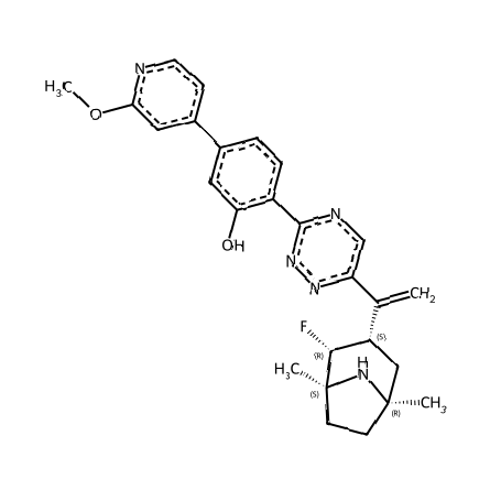 C=C(c1cnc(-c2ccc(-c3ccnc(OC)c3)cc2O)nn1)[C@@H]1C[C@@]2(C)CC[C@](C)(N2)[C@@H]1F